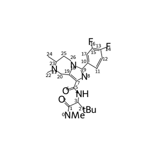 CNC(=O)C(NC(=O)c1nc(-c2ccc(F)c(F)c2)n2c1CN(C)C(C)CC2)C(C)(C)C